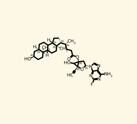 C#C[C@]12O[C@@H](n3cnc4c(N)nc(F)nc43)C[C@@]1(OC(=O)CC[C@@H](C)[C@H]1CC[C@H]3C4CC[C@@H]5C[C@H](O)CC[C@]5(C)[C@H]4CC[C@]13C)C2O